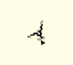 COC/C=C/c1cc(C(=O)NC2CC2)cc(/C=C/COC)n1